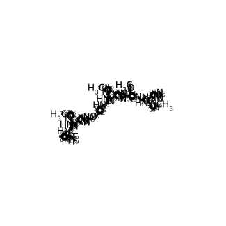 COCc1cc(NCc2nc(-c3ccc4ncnn4c3)c(-c3cccc(C)n3)[nH]2)ccc1-c1nc2ccc(-c3nc(CNc4ccc(COCc5nc6ccc(-c7nc(CNc8ccccc8OC(F)(F)F)[nH]c7-c7cccc(C)n7)cn6n5)cc4)[nH]c3-c3cccc(C)n3)cn2n1